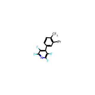 CC(C)c1cc(-c2c(F)c(F)nc(F)c2F)ccc1C(F)(F)F